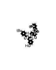 CC(C)(C)c1ccc(C(=O)NC(Cc2cccc(O)c2)C(=O)N2CCC3C2C(=O)CN3S(=O)(=O)Cc2ccc[n+]([O-])c2)cc1